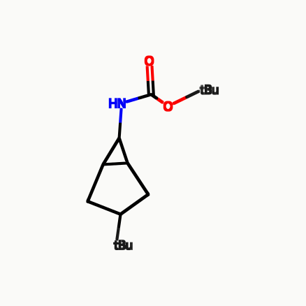 CC(C)(C)OC(=O)NC1C2CC(C(C)(C)C)CC21